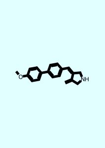 C=C1CNCC1=Cc1ccc(-c2ccc(OC)cc2)cc1